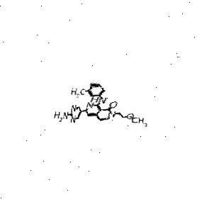 COCCn1ccc2cc(-c3cnc(N)nc3)nc(Nc3cccc(C)c3)c2c1=O